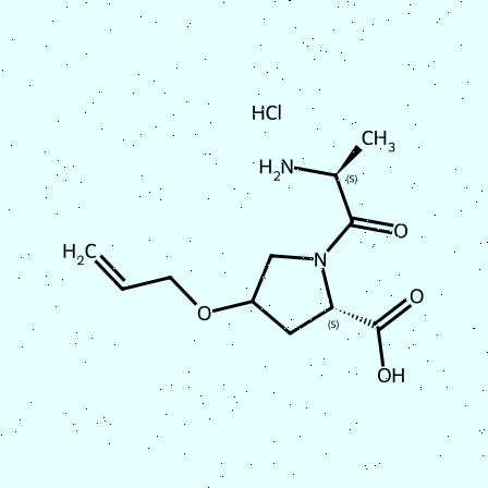 C=CCOC1C[C@@H](C(=O)O)N(C(=O)[C@H](C)N)C1.Cl